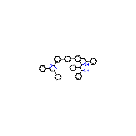 N=C(/C(=C1\NC(c2ccccc2)=Cc2ccc(-c3ccc(-c4cccc(-c5nc(-c6ccccc6)cc(-c6ccccc6)n5)c4)cc3)cc21)c1ccccc1)c1ccccc1